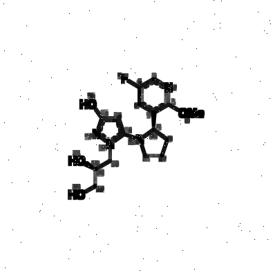 COc1ncc(F)cc1[C@H]1CCCN1c1cc(O)nn1C[C@H](O)CO